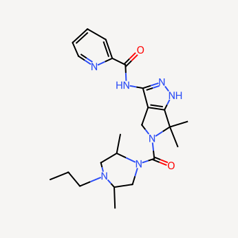 CCCN1CC(C)N(C(=O)N2Cc3c(NC(=O)c4ccccn4)n[nH]c3C2(C)C)CC1C